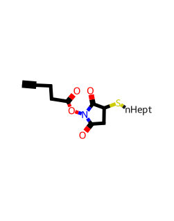 C#CCCC(=O)ON1C(=O)CC(SCCCCCCC)C1=O